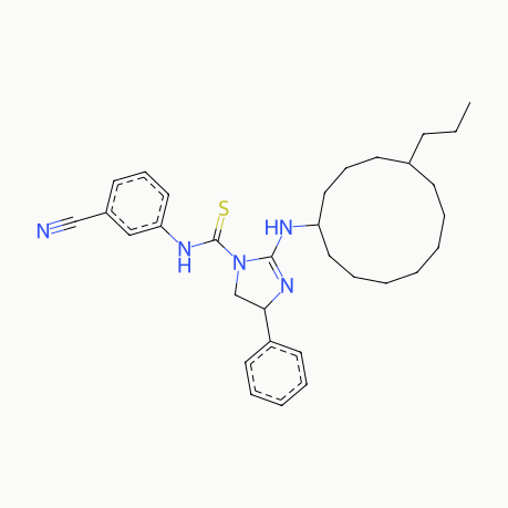 CCCC1CCCCCCCC(NC2=NC(c3ccccc3)CN2C(=S)Nc2cccc(C#N)c2)CCC1